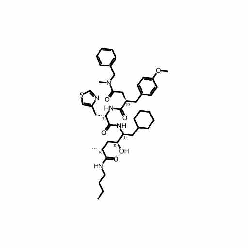 CCCCNC(=O)[C@H](C)C[C@H](O)[C@H](CC1CCCCC1)NC(=O)[C@H](Cc1cscn1)NC(=O)[C@@H](CC(=O)N(C)Cc1ccccc1)Cc1ccc(OC)cc1